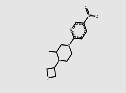 CC1CN(c2ccc([N+](=O)[O-])cn2)CCN1C1COC1